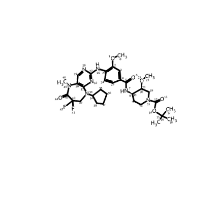 COc1cc(C(=O)N[C@@H]2CCN(C(=O)OC(C)(C)C)C[C@@H]2OC)ccc1Nc1ncc2c(n1)N(C1CCCC1)CC(F)(F)C(=O)N2C